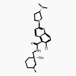 C[C@H]1CCC[C@@](O)(CNC(=O)c2c(Cl)ccc3nc(N4CC[C@H](N(C)C)C4)ccc23)C1